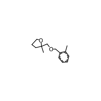 Cc1ccccc1COCC1(C)CCCO1